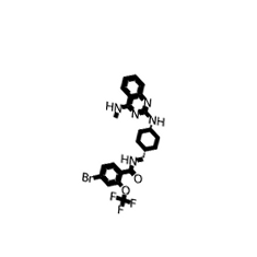 CNc1nc(N[C@H]2CC[C@@H](CNC(=O)c3ccc(Br)cc3OC(F)(F)F)CC2)nc2ccccc12